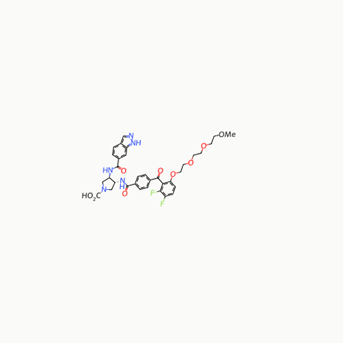 COCCOCCOCCOc1ccc(F)c(F)c1C(=O)c1ccc(C(=O)N[C@@H]2CN(C(=O)O)C[C@H]2NC(=O)c2ccc3cn[nH]c3c2)cc1